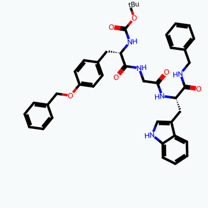 CC(C)(C)OC(=O)N[C@@H](Cc1ccc(OCc2ccccc2)cc1)C(=O)NCC(=O)N[C@@H](Cc1c[nH]c2ccccc12)C(=O)NCc1ccccc1